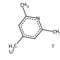 Cc1cc(C)nc(C)c1.[I-].[Li+]